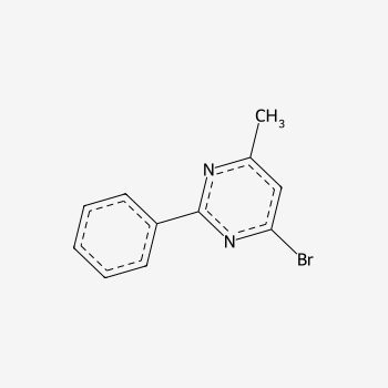 Cc1cc(Br)nc(-c2ccccc2)n1